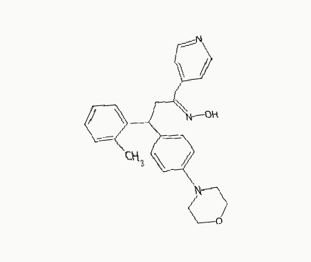 Cc1ccccc1C(CC(=NO)c1ccncc1)c1ccc(N2CCOCC2)cc1